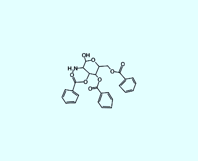 NC1C(O)OC(COC(=O)c2ccccc2)C(OC(=O)c2ccccc2)C1OC(=O)c1ccccc1